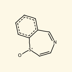 [O-][S+]1C=CN=Cc2ccccc21